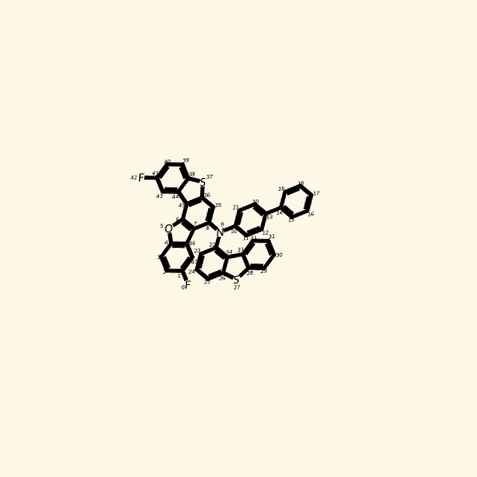 Fc1ccc2oc3c(c(N(c4ccc(-c5ccccc5)cc4)c4cccc5sc6ccccc6c45)cc4sc5ccc(F)cc5c43)c2c1